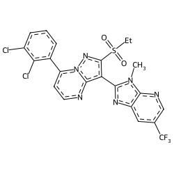 CCS(=O)(=O)c1nn2c(-c3cccc(Cl)c3Cl)ccnc2c1-c1nc2cc(C(F)(F)F)cnc2n1C